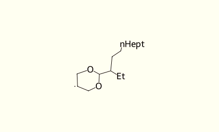 CCCCCCCCCC(CC)C1OC[CH]CO1